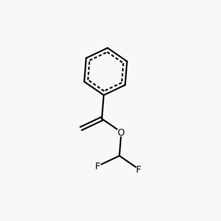 C=C(OC(F)F)c1ccccc1